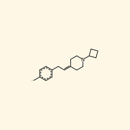 [CH2]c1ccc(CC=C2CCN(C3CCC3)CC2)cc1